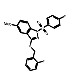 COc1ccc2c(c1)c(OCc1ccccc1F)nn2S(=O)(=O)c1ccc(F)cc1